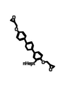 CCCCCCCc1cc(C2=CC=C(c3ccc(OCC4CO4)cc3)CC2)ccc1OCC1CO1